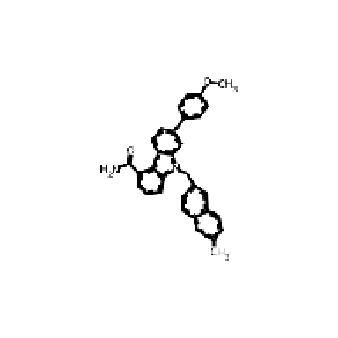 COc1ccc(-c2c[c]c3c4c(C(N)=O)cccc4n(Cc4ccc5cc(C)ccc5c4)c3c2)cc1